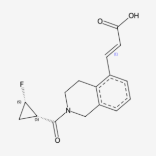 O=C(O)/C=C/c1cccc2c1CCN(C(=O)[C@@H]1C[C@@H]1F)C2